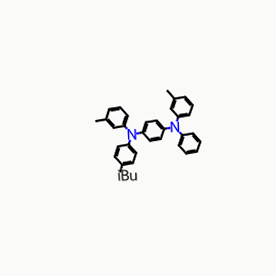 CCC(C)c1ccc(N(c2ccc(N(c3ccccc3)c3cccc(C)c3)cc2)c2cccc(C)c2)cc1